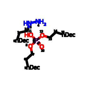 CCCCCCCCCCCCNN.CCCCCCCCCCCCOP(=O)(O)OCCCCCCCCCCCC